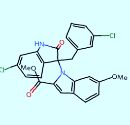 COC(=O)c1cc2ccc(OC)cc2n1C1(Cc2cccc(Cl)c2)C(=O)Nc2cc(Cl)ccc21